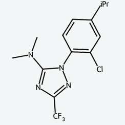 CC(C)c1ccc(-n2nc(C(F)(F)F)nc2N(C)C)c(Cl)c1